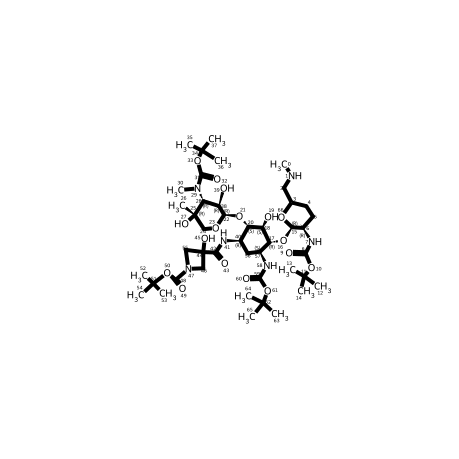 CNCC1CC[C@@H](NC(=O)OC(C)(C)C)[C@@H](O[C@H]2[C@H](O)[C@@H](O[C@H]3OC[C@](C)(O)[C@H](N(C)C(=O)OC(C)(C)C)[C@H]3O)[C@H](NC(=O)C3(O)CN(C(=O)OC(C)(C)C)C3)C[C@@H]2NC(=O)OC(C)(C)C)O1